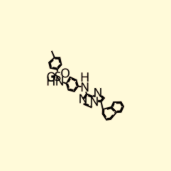 Cc1ccc(S(=O)(=O)Nc2ccc(Nc3nccn4c(-c5cccc6ccccc56)cnc34)cc2)cc1